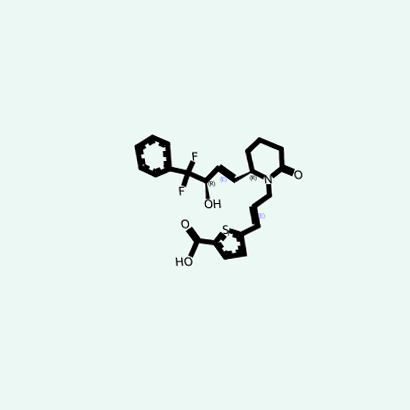 O=C(O)c1ccc(/C=C/CN2C(=O)CCC[C@@H]2/C=C/[C@@H](O)C(F)(F)c2ccccc2)s1